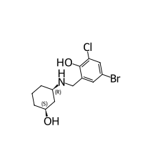 Oc1c(Cl)cc(Br)cc1CN[C@@H]1CCC[C@H](O)C1